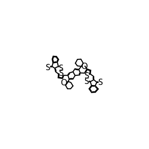 S=C1C(=Cc2cc3c(s2)C2=CC4C=C5C(=CC4C=C2C2(CCCCC2)O3)c2sc(C=C3C(=S)c4ccccc4C3=S)cc2OC52CCCCC2)C(=S)c2ccccc21